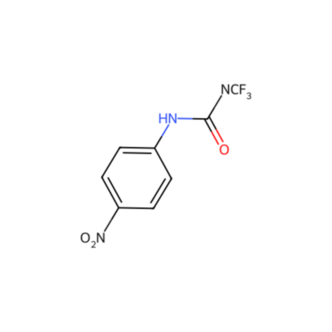 O=C(Nc1ccc([N+](=O)[O-])cc1)NC(F)(F)F